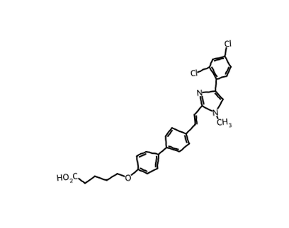 Cn1cc(-c2ccc(Cl)cc2Cl)nc1/C=C/c1ccc(-c2ccc(OCCCCC(=O)O)cc2)cc1